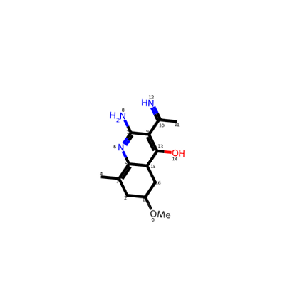 COC1CC(C)=C2N=C(N)C(C(C)=N)=C(O)C2C1